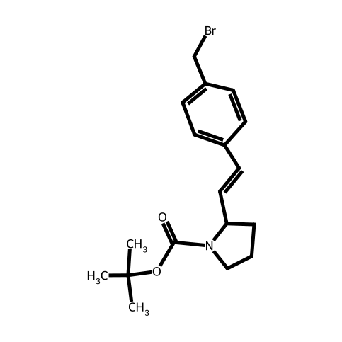 CC(C)(C)OC(=O)N1CCCC1C=Cc1ccc(CBr)cc1